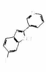 Fc1ccc2cc(-c3cccnc3)[nH]c2c1